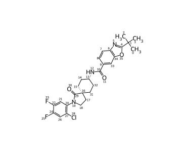 CC(C)(C)c1nc2ccc(C(=O)N[C@H]3CC[C@@]4(CCN(c5cc(F)c(F)cc5Cl)C4=O)CC3)cc2o1